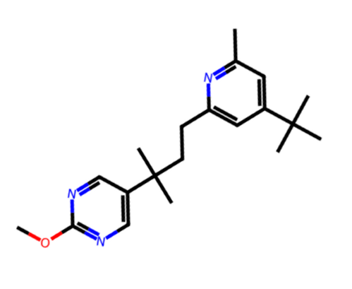 COc1ncc(C(C)(C)CCc2cc(C(C)(C)C)cc(C)n2)cn1